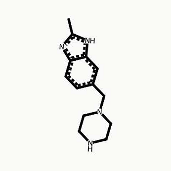 Cc1nc2ccc(CN3CCNCC3)cc2[nH]1